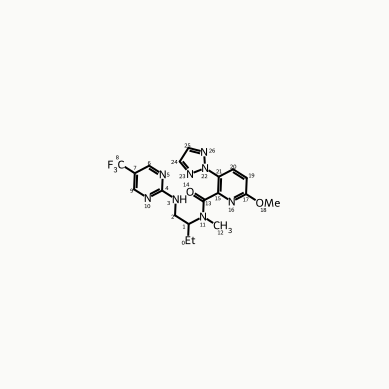 CCC(CNc1ncc(C(F)(F)F)cn1)N(C)C(=O)c1nc(OC)ccc1-n1nccn1